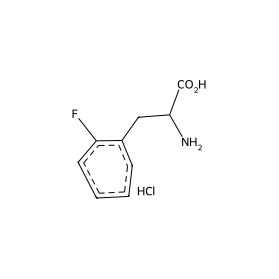 Cl.NC(Cc1ccccc1F)C(=O)O